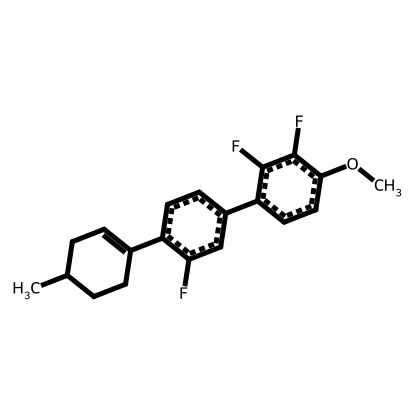 COc1ccc(-c2ccc(C3=CCC(C)CC3)c(F)c2)c(F)c1F